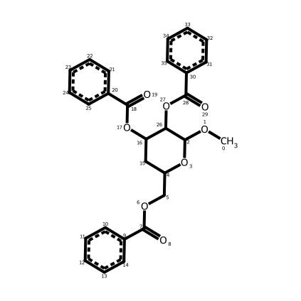 COC1OC(COC(=O)c2ccccc2)CC(OC(=O)c2ccccc2)C1OC(=O)c1ccccc1